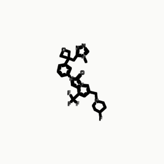 Cn1cnnc1CC1(c2cccc(-n3cc4c(C(F)(F)F)cc(CN5CCC(F)CC5)cn4c3=O)c2)COC1